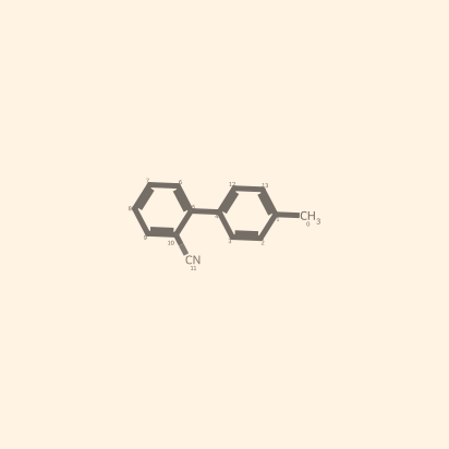 Cc1ccc(-c2cc[c]cc2C#N)cc1